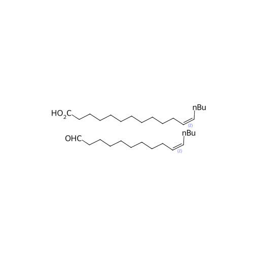 CCCC/C=C\CCCCCCCCC=O.CCCC/C=C\CCCCCCCCCCC(=O)O